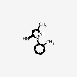 Cc1cc(=N)n(-c2ccccc2C)[nH]1